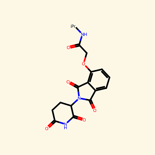 CC(C)NC(=O)COc1cccc2c1C(=O)N(C1CCC(=O)NC1=O)C2=O